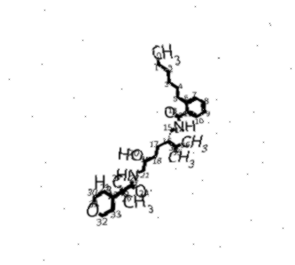 CCCCCCc1ccccc1C(=O)NC[C@@H](CC[C@@H](O)CNC(=O)C(C)(C)C1CCOCC1)C(C)C